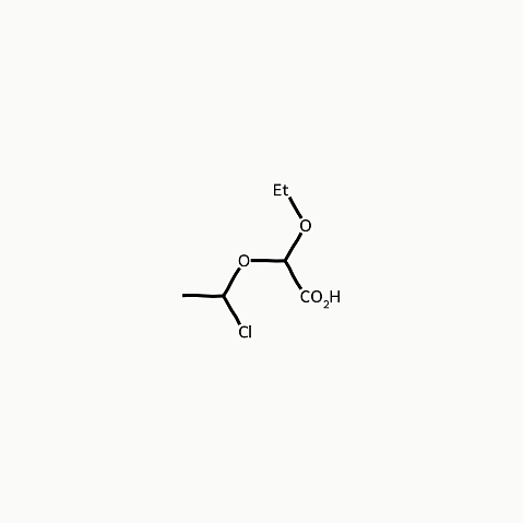 CCOC(OC(C)Cl)C(=O)O